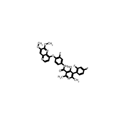 COc1cc2nccc(Oc3ccc(NC(=O)c4c(C)nc(C)c(-c5ccc(F)cc5F)c4O)cc3F)c2nc1OC